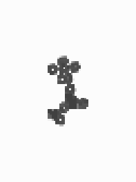 c1ccc(-c2cc(-c3ccc(-c4ccc5c6c(cccc46)-c4c-5c(-c5ccccc5)c5ccccc5c4-c4ccccc4)cc3)nc(-c3ccc(-c4cncc5ccccc45)cc3)n2)cc1